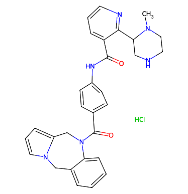 CN1CCNCC1c1ncccc1C(=O)Nc1ccc(C(=O)N2Cc3cccn3Cc3ccccc32)cc1.Cl